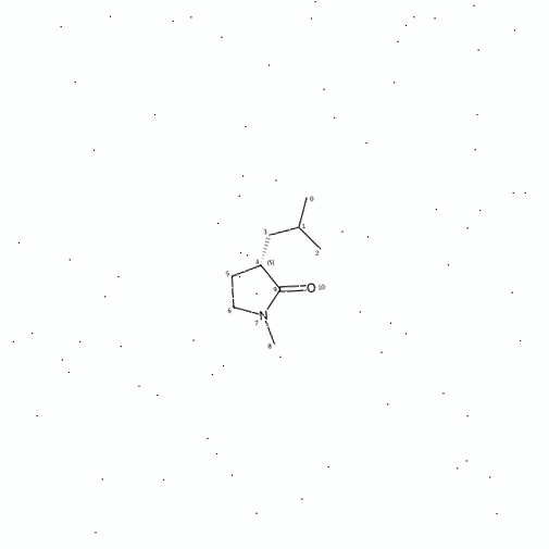 CC(C)C[C@H]1CCN(C)C1=O